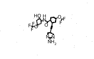 Nc1ncc(C#Cc2cc(OC(F)F)ccc2C(=O)N[C@H]2C[C@H](OC(F)(F)F)C[C@@H]2O)cn1